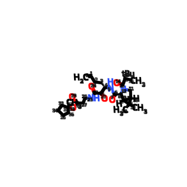 C=CCC[C@H](NC(=O)[C@@H]1[C@@H]2[C@H](CN1C(=O)[C@@H](C)C(C)(C)C)C2(C)C)C(=O)C(=O)NCCC(=O)OC1(C)CCCC1